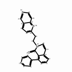 O=c1c2c(-c3ccncc3)cccc2ccn1CCc1ccc2cnccc2n1